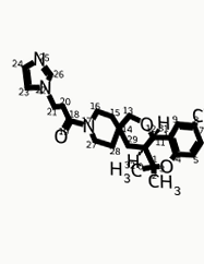 CC1(C)Oc2ccc(Cl)cc2[C@H]2OCC3(CCN(C(=O)CCn4ccnc4)CC3)C[C@@H]21